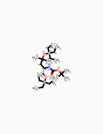 CC[Si](CC)(CC)OC[C@H](CC(C)(C)O[Si](CC)(CC)CC)NC(=O)OC(C)(C)C